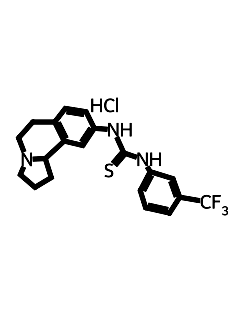 Cl.FC(F)(F)c1cccc(NC(=S)Nc2ccc3c(c2)C2CCCN2CC3)c1